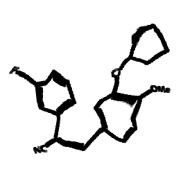 COc1ccc(C=C(C#N)c2cccc(F)c2)cc1OC1CCCC1